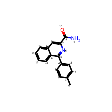 Cc1ccc(-c2nc(C(N)=O)cc3ccccc23)cc1